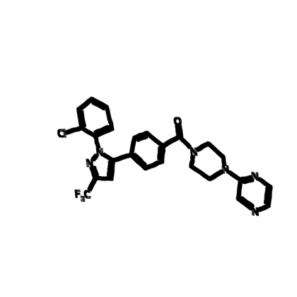 O=C(c1ccc(-c2cc(C(F)(F)F)nn2-c2ccccc2Cl)cc1)N1CCN(c2cnccn2)CC1